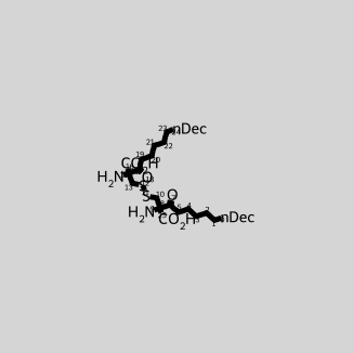 CCCCCCCCCCCCCCCC(=O)C(N)(CSSCC(N)(C(=O)O)C(=O)CCCCCCCCCCCCCCC)C(=O)O